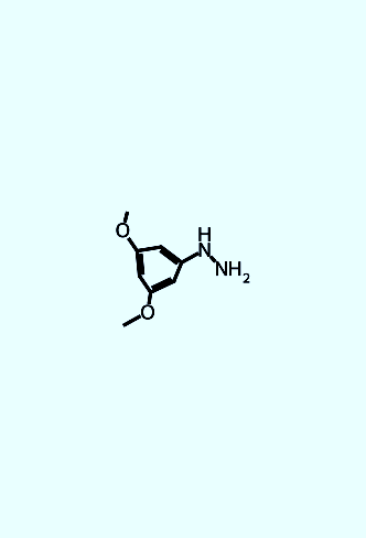 COc1cc(NN)cc(OC)c1